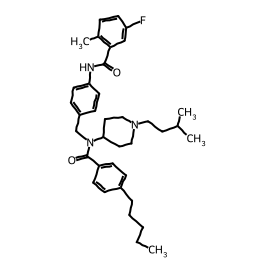 CCCCCc1ccc(C(=O)N(Cc2ccc(NC(=O)c3cc(F)ccc3C)cc2)C2CCN(CCC(C)C)CC2)cc1